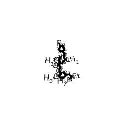 CCC(N)Cc1ccc(C)c(OCC(=O)N2C[C@@H](C)N(Cc3ccc(F)cc3)C[C@@H]2C)c1